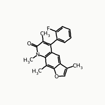 Cc1c(-c2ccccc2F)c2cc3c(C)coc3c(C)c2n(C)c1=O